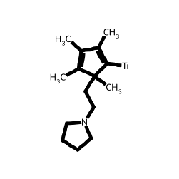 CC1=C(C)C(C)(CCN2CCCC2)[C]([Ti])=C1C